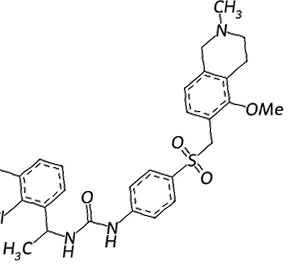 COc1c(CS(=O)(=O)c2ccc(NC(=O)NC(C)c3cccc(Cl)c3Cl)cc2)ccc2c1CCN(C)C2